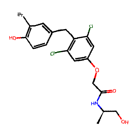 CC(C)c1cc(Cc2c(Cl)cc(OCC(=O)N[C@H](C)CO)cc2Cl)ccc1O